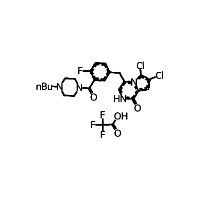 CCCCN1CCN(C(=O)c2cc(Cc3c[nH]c(=O)c4cc(Cl)c(Cl)n34)ccc2F)CC1.O=C(O)C(F)(F)F